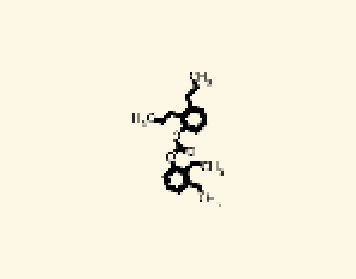 CCCc1cccc(OC(=O)Oc2cccc(CC)c2CC)c1CCC